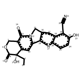 CC[C@@]1(O)C(=O)OCc2c1cc1n(c2=O)Cc2cc3c(C#N)c(O)ccc3nc2-1